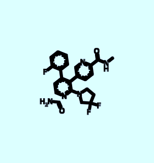 CNC(=O)c1ccc(-c2c(-c3ccccc3F)ccnc2N2CCC(F)(F)C2)cn1.NC=O